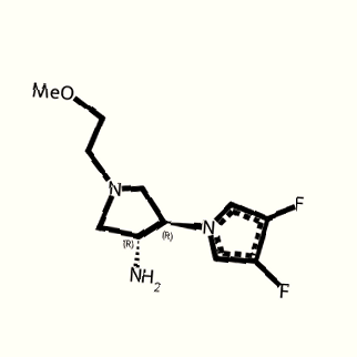 COCCN1C[C@@H](N)[C@H](n2cc(F)c(F)c2)C1